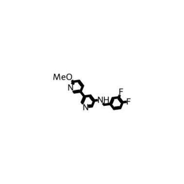 COc1ccc(-c2cncc(NCc3ccc(F)c(F)c3)c2)cn1